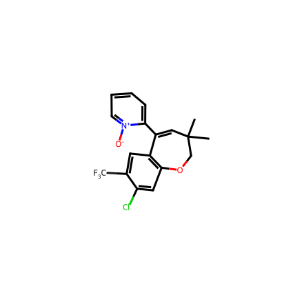 CC1(C)C=C(c2cccc[n+]2[O-])c2cc(C(F)(F)F)c(Cl)cc2OC1